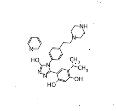 CC(C)c1cc(-c2nnc(O)n2-c2ccc(CCN3CCNCC3)cc2)c(O)cc1O.c1ccncc1